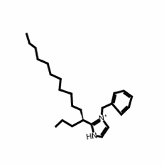 CCCCCCCCCCC[C@H](CCC)c1[nH]cc[n+]1Cc1ccccc1